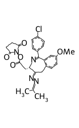 COc1ccc2c(c1)C(c1ccc(Cl)cc1)=N[C@@H](CC(=O)ON1C(=O)CCC1=O)/C(=N/N=C(C)C)C2